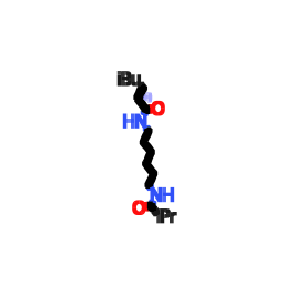 CCC(C)/C=C/C(=O)NCCCCCCNC(=O)C(C)C